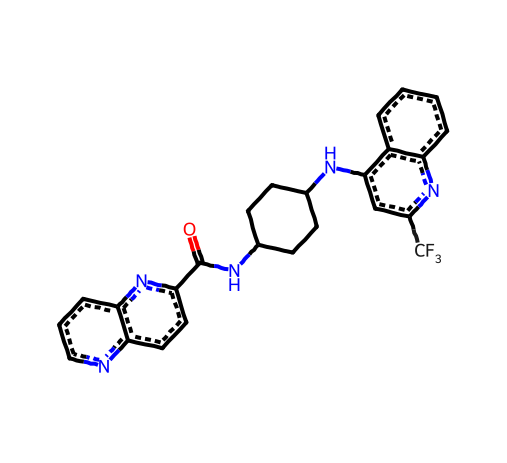 O=C(NC1CCC(Nc2cc(C(F)(F)F)nc3ccccc23)CC1)c1ccc2ncccc2n1